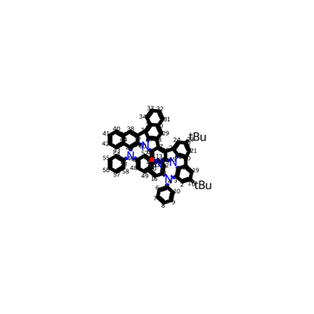 CC(C)(C)c1cc(N(c2ccccc2)c2ccccc2)c2c(c1)c1cc(C(C)(C)C)cc3c4c5c6cc7ccccc7c7c8cc9ccccc9c(N(c9ccccc9)c9ccccc9)c8n(c5cnc4n2c13)c67